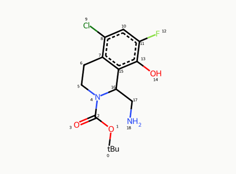 CC(C)(C)OC(=O)N1CCc2c(Cl)cc(F)c(O)c2C1CN